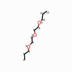 C[CH]COCCOCCOC[CH]C